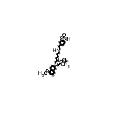 CCCN(CCCCCCNCCc1ccc2[nH]c(=O)sc2c1)[C@H]1CCc2c(cccc2OC)C1.Cl.Cl